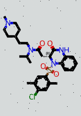 Cc1cc(S(=O)(=O)N2c3ccccc3NC(=O)[C@H]2CC(=O)N(CCC2CCN(C)CC2)C(C)C)c(C)cc1Cl